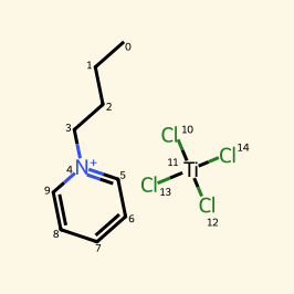 CCCC[n+]1ccccc1.[Cl][Ti]([Cl])([Cl])[Cl]